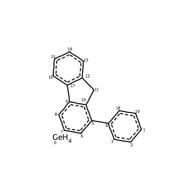 [GeH4].c1ccc(-c2cccc3c2Cc2ccccc2-3)cc1